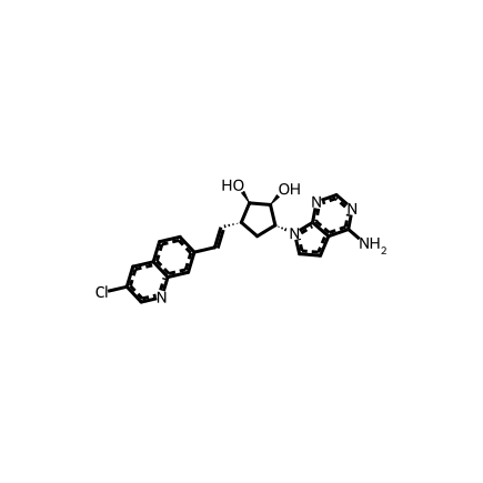 Nc1ncnc2c1ccn2[C@@H]1C[C@H](/C=C/c2ccc3cc(Cl)cnc3c2)[C@@H](O)[C@H]1O